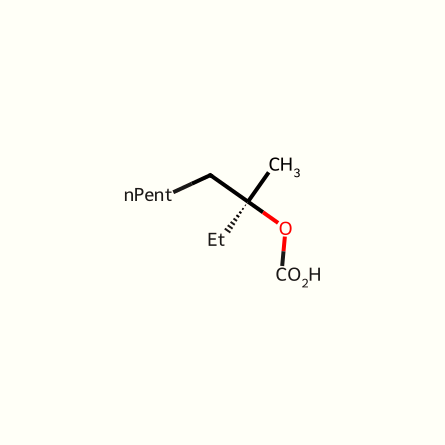 CCCCCC[C@](C)(CC)OC(=O)O